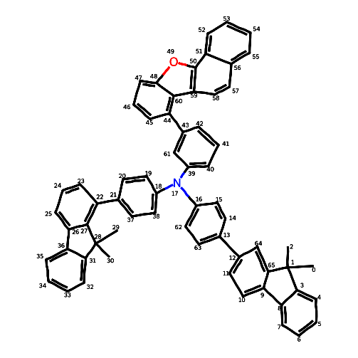 CC1(C)c2ccccc2-c2ccc(-c3ccc(N(c4ccc(-c5cccc6c5C(C)(C)c5ccccc5-6)cc4)c4cccc(-c5cccc6oc7c8ccccc8ccc7c56)c4)cc3)cc21